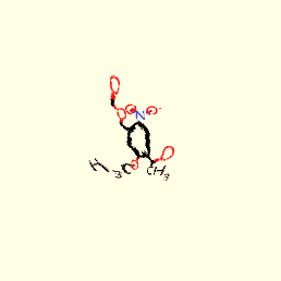 COc1cc(COC=O)c([N+](=O)[O-])cc1C(C)=O